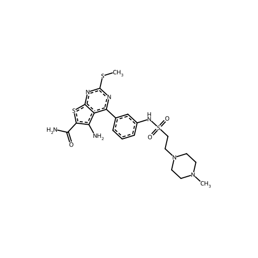 CSc1nc(-c2cccc(NS(=O)(=O)CCN3CCN(C)CC3)c2)c2c(N)c(C(N)=O)sc2n1